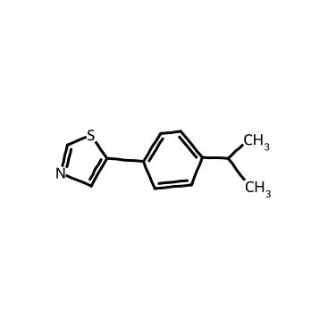 CC(C)c1ccc(-c2cncs2)cc1